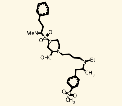 CCN(CCCCN1CCN(S(=O)(=O)C(CCc2ccccc2)NC)CC1C=O)C(C)Cc1ccc(S(C)(=O)=O)cc1